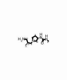 CNC(=O)N[C@H]1CCN(C[C@@H](C)CN)C1